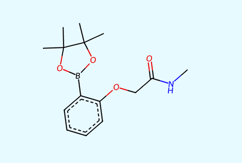 CNC(=O)COc1ccccc1B1OC(C)(C)C(C)(C)O1